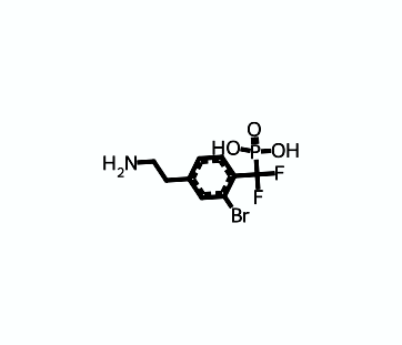 NCCc1ccc(C(F)(F)P(=O)(O)O)c(Br)c1